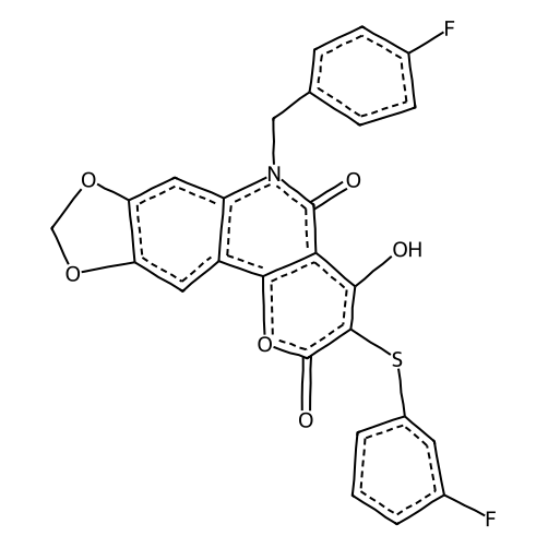 O=c1oc2c(c(O)c1Sc1cccc(F)c1)c(=O)n(Cc1ccc(F)cc1)c1cc3c(cc21)OCO3